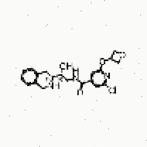 O=C(NC[C@@H](O)[C@@H]1Cc2ccccc2CN1)c1cc(Cl)nc(OC2COC2)c1